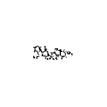 CCOc1ccccc1-c1ncc(C2(C(C)=O)CCN(c3ccc(C(F)(F)F)cc3C#N)CC2)cc1F